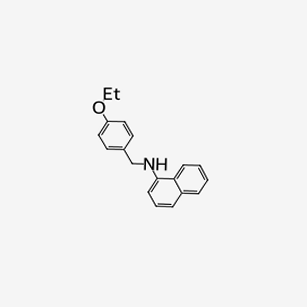 CCOc1ccc(CNc2cccc3ccccc23)cc1